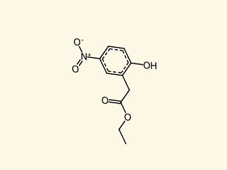 CCOC(=O)Cc1cc([N+](=O)[O-])ccc1O